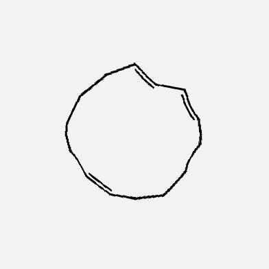 C1=C\CCCC/C=C\CCCC/C=C/1